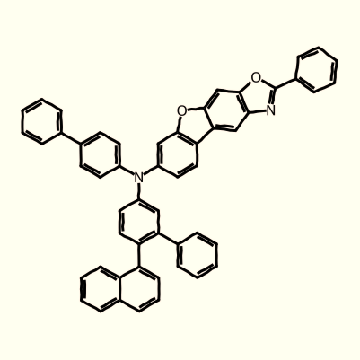 c1ccc(-c2ccc(N(c3ccc(-c4cccc5ccccc45)c(-c4ccccc4)c3)c3ccc4c(c3)oc3cc5oc(-c6ccccc6)nc5cc34)cc2)cc1